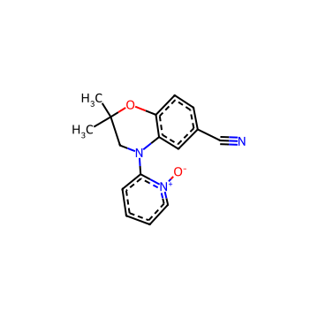 CC1(C)CN(c2cccc[n+]2[O-])c2cc(C#N)ccc2O1